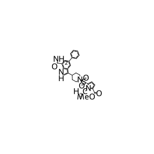 COC(=O)c1ccc(S(=O)(=O)N2CCC(c3c[nH]c4c(C(N)=O)cc(-c5ccccc5)cc34)CC2)n1C